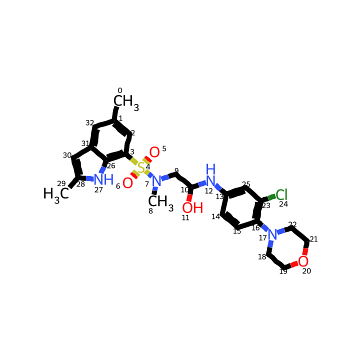 Cc1cc(S(=O)(=O)N(C)CC(O)Nc2ccc(N3CCOCC3)c(Cl)c2)c2[nH]c(C)cc2c1